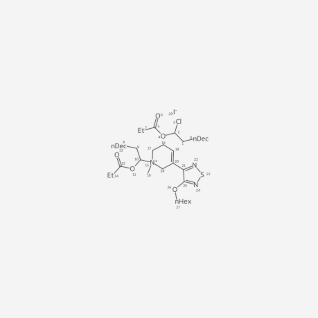 CCCCCCCCCCCC(Cl)OC(=O)CC.CCCCCCCCCCCC(OC(=O)CC)[N+]1(C)CCC=C(c2nsnc2OCCCCCC)C1.[I-]